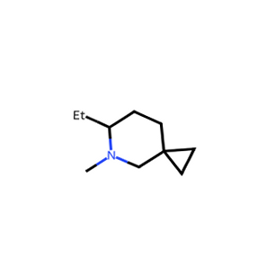 CCC1CCC2(CC2)CN1C